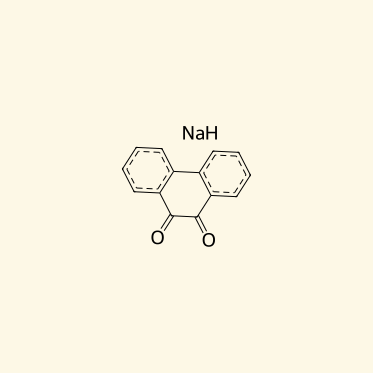 O=C1C(=O)c2ccccc2-c2ccccc21.[NaH]